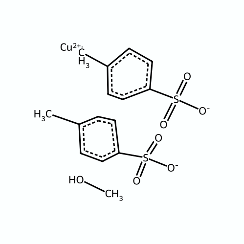 CO.Cc1ccc(S(=O)(=O)[O-])cc1.Cc1ccc(S(=O)(=O)[O-])cc1.[Cu+2]